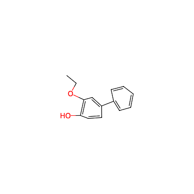 CCOc1cc(-c2ccccc2)ccc1O